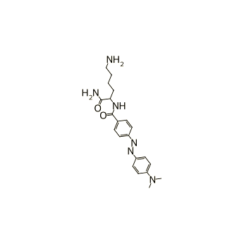 CN(C)c1ccc(N=Nc2ccc(C(=O)NC(CCCCN)C(N)=O)cc2)cc1